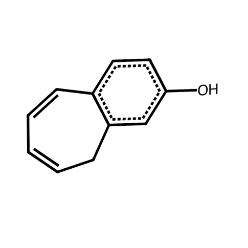 Oc1ccc2c(c1)CC=CC=C2